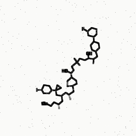 CC(CC1CCC(C2CCCC(F)C2)CC1)C(O)CCC(C)(C)CCC(O)C1CCC(C[C@H](C)CC(C[C@H](C)CCC(C)(C)C)CC2(C3CCC(I)CC3)CC2)CC1